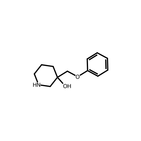 OC1(COc2ccccc2)CCCNC1